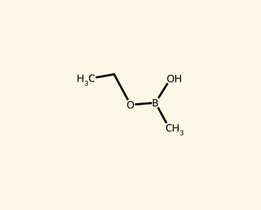 CCOB(C)O